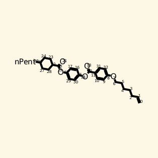 C=CCCCCCOc1ccc(C(=O)Oc2ccc(OC(=O)C3CCC(CCCCC)CC3)cc2)cc1